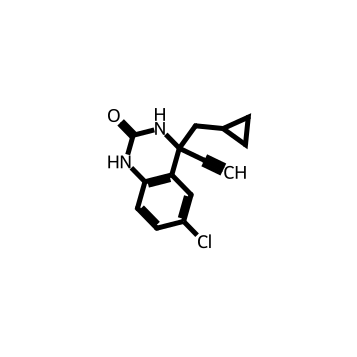 C#CC1(CC2CC2)NC(=O)Nc2ccc(Cl)cc21